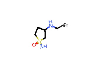 CC(C)CNC1CCS(=N)(=O)C1